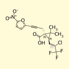 CC1(C)[C@@H](/C=C(\Cl)C(F)(F)F)[C@@]1(CC#Cc1ccc([N+](=O)[O-])o1)C(=O)O